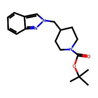 CC(C)(C)OC(=O)N1CCC(Cn2cc3ccccc3n2)CC1